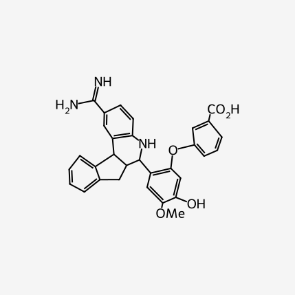 COc1cc(C2Nc3ccc(C(=N)N)cc3C3c4ccccc4CC23)c(Oc2cccc(C(=O)O)c2)cc1O